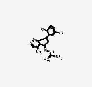 Cc1cnnc2c1/C(=N/NC(=N)N)CC(c1cc(Cl)ccc1Cl)C2